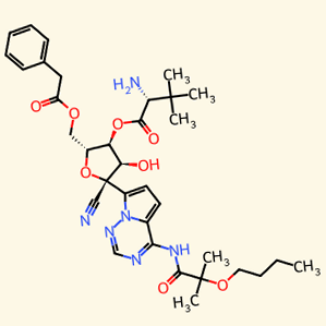 CCCCOC(C)(C)C(=O)Nc1ncnn2c([C@]3(C#N)O[C@H](COC(=O)Cc4ccccc4)[C@@H](OC(=O)[C@H](N)C(C)(C)C)[C@H]3O)ccc12